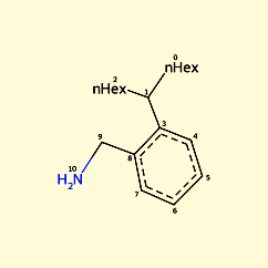 CCCCCCC(CCCCCC)c1ccccc1CN